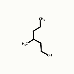 CC[CH]C(C)CCO